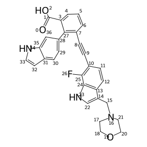 O=C(O)c1cccc(C#Cc2ccc3c(CN4CCOCC4)c[nH]c3c2F)c1-c1ccc2cc[nH]c2c1